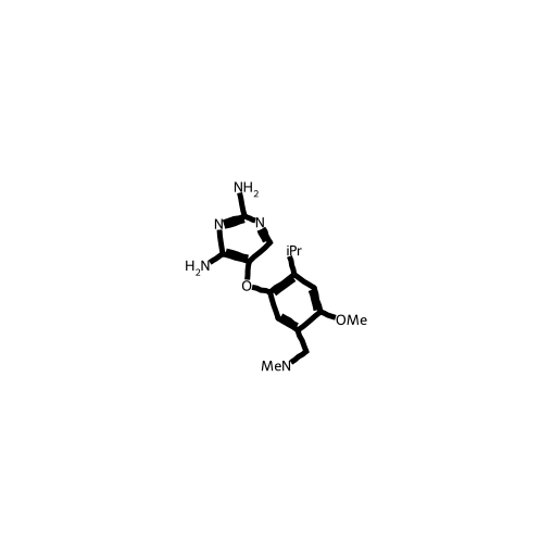 CNCc1cc(Oc2cnc(N)nc2N)c(C(C)C)cc1OC